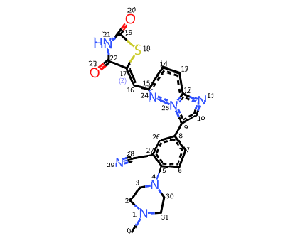 CN1CCN(c2ccc(-c3cnc4ccc(/C=C5\SC(=O)NC5=O)nn34)cc2C#N)CC1